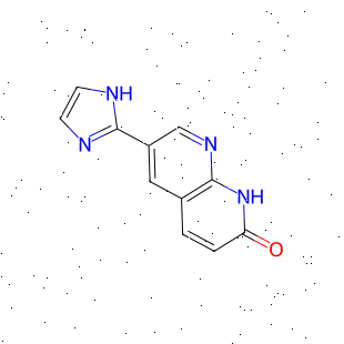 O=c1ccc2cc(-c3ncc[nH]3)cnc2[nH]1